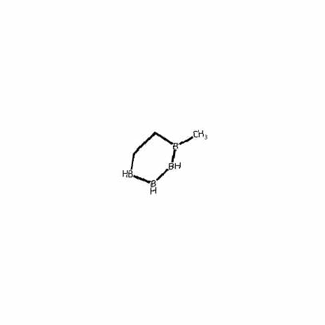 CB1BBBCC1